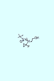 CN([C@@H](CCO)C1(F)CC1)[S@+]([O-])C(C)(C)C